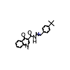 Cn1cc(C(=O)N/N=C/c2ccc(C(C)(C)C)cc2)c(=O)c2ccccc21